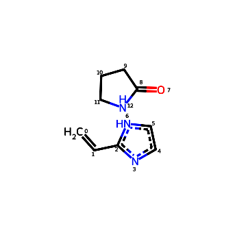 C=Cc1ncc[nH]1.O=C1CCCN1